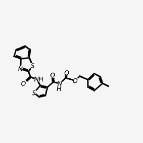 Cc1ccc(COC(=O)NC(=O)c2ccsc2NC(=O)c2nc3ccccc3s2)cc1